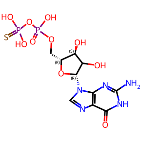 Nc1nc2c(ncn2[C@@H]2O[C@H](COP(=O)(O)OP(O)(O)=S)[C@@H](O)C2O)c(=O)[nH]1